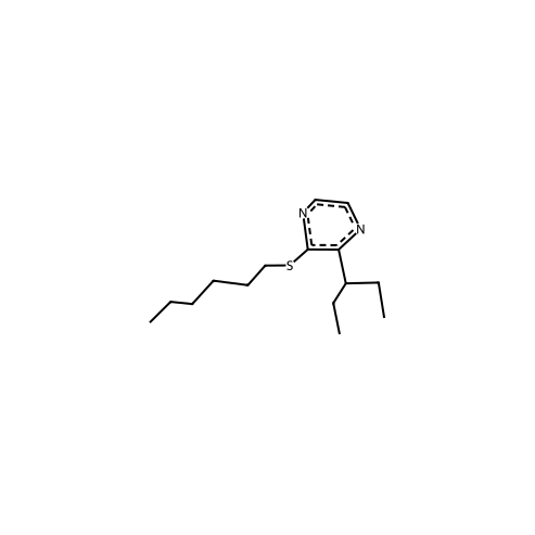 CCCCCCSc1nccnc1C(CC)CC